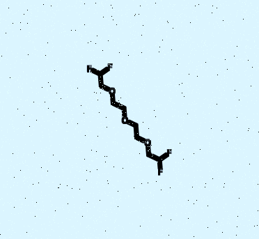 FC(F)COCCOCCOCC(F)F